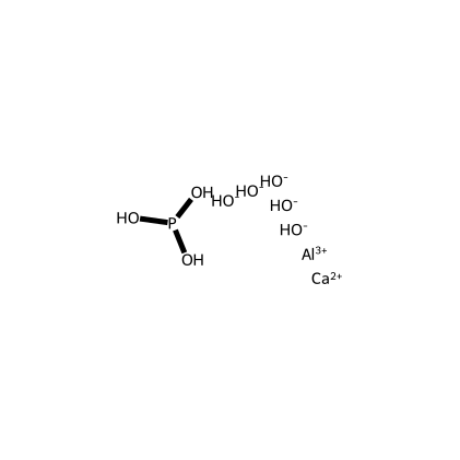 OP(O)O.[Al+3].[Ca+2].[OH-].[OH-].[OH-].[OH-].[OH-]